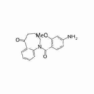 COc1cc(N)ccc1C(=O)N1CCCC(=O)c2ccccc21